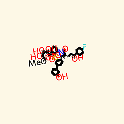 CO[C@@H]1OC(CS(=O)(=O)c2cc(-c3cccc(O)c3)ccc2[C@@H]2[C@@H](CC[C@H](O)c3ccc(F)cc3)C(=O)N2c2ccccc2)[C@H](O)[C@@H](O)[C@@H]1O